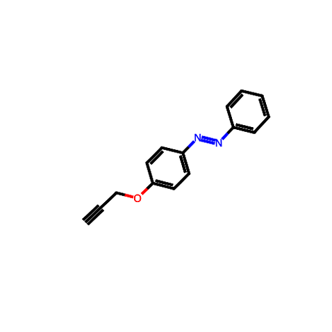 C#CCOc1ccc(N=Nc2ccccc2)cc1